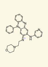 c1ccc(-n2c3c/c(=N\CCN4CCOCC4)c(Nc4cccnc4)cc-3nc3ccccc32)cc1